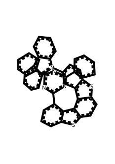 c1ccc(-c2nc(-c3ccccc3)nc(-c3cccc4sc5ccc6sc7ccc(-n8c9ccccc9c9ccccc98)cc7c6c5c34)n2)cc1